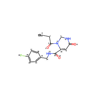 CC(C)(C)CC(=O)N1CNC(=O)C=C1C(=O)NCc1ccc(F)cc1